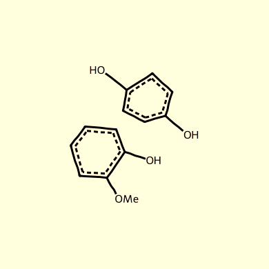 COc1ccccc1O.Oc1ccc(O)cc1